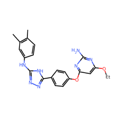 CCOc1cc(Oc2ccc(-c3nnc(Nc4ccc(C)c(C)c4)[nH]3)cc2)nc(N)n1